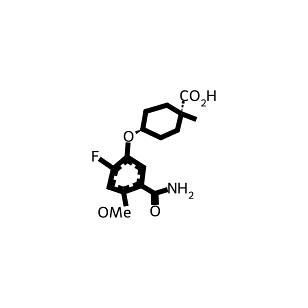 COc1cc(F)c(O[C@H]2CC[C@@](C)(C(=O)O)CC2)cc1C(N)=O